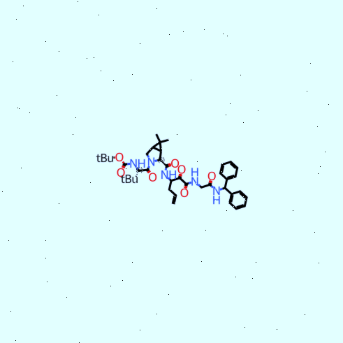 C=CCC(NC(=O)[C@@H]1C2C(CN1C(=O)[C@@H](NC(=O)OC(C)(C)C)C(C)(C)C)C2(C)C)C(=O)C(=O)NCC(=O)NC(c1ccccc1)c1ccccc1